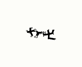 CCC(C)(CC)CNC(=O)OC(C)(C)C